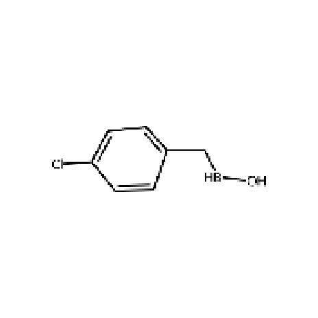 OBCc1ccc(Cl)cc1